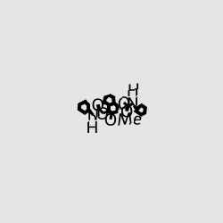 COc1cc(OC(=O)Nc2ccccc2)c2ccccc2c1OC(=O)Nc1ccccc1